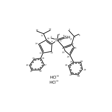 CC(C)C1=[C]([Ti]([CH3])([CH3])(=[SiH2])[C]2=C(C(C)C)C=C(c3ccccc3)C2)CC(c2ccccc2)=C1.Cl.Cl